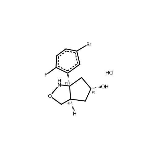 Cl.O[C@@H]1C[C@H]2CON[C@@]2(c2cc(Br)ccc2F)C1